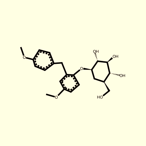 COc1ccc(Cc2cc(OC)ccc2O[C@@H]2C[C@H](CO)[C@@H](O)[C@H](O)[C@H]2O)cc1